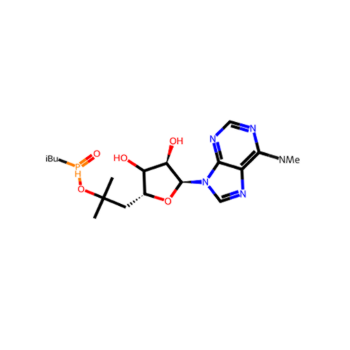 CCC(C)[PH](=O)OC(C)(C)C[C@H]1O[C@H](n2cnc3c(NC)ncnc32)[C@H](O)C1O